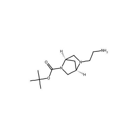 CC(C)(C)OC(=O)N1C[C@H]2C[C@@H]1CN2CCN